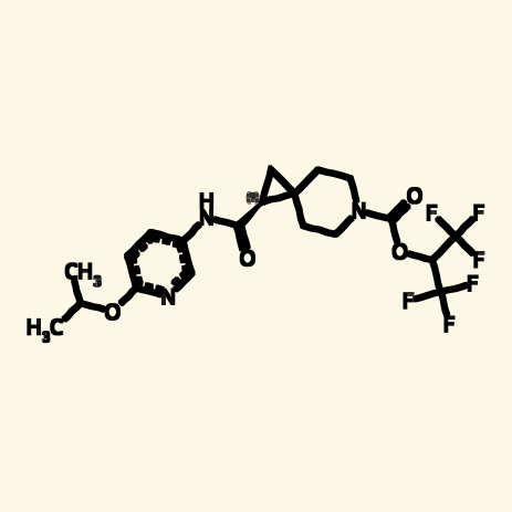 CC(C)Oc1ccc(NC(=O)[C@H]2CC23CCN(C(=O)OC(C(F)(F)F)C(F)(F)F)CC3)cn1